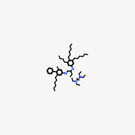 CCCCCCc1cc(N=C(C=Nc2cc(C)c(-c3ccccc3)c(CCCCCC)c2)CC)cc(CCCC)c1CCCCCC.CC[N](CC)[Ni][N](CC)CC